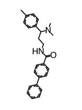 Cc1ccc(C(CCNC(=O)c2ccc(-c3ccccc3)cc2)N(C)C)cc1